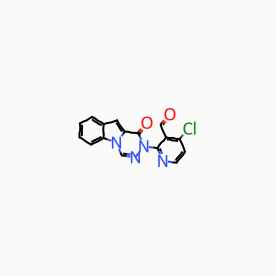 O=Cc1c(Cl)ccnc1-n1ncn2c(cc3ccccc32)c1=O